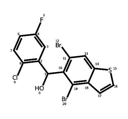 OC(c1cc(F)ccc1Cl)c1c(Br)cc2sccc2c1Br